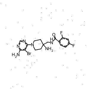 Nc1ncnc(N2CCC(N)(CNC(=O)c3ccc(F)cc3F)CC2)c1Br